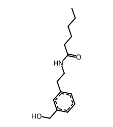 CCCCCC(=O)NCCc1cccc(CO)c1